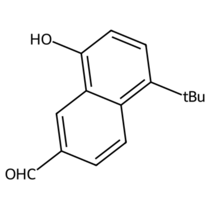 CC(C)(C)c1ccc(O)c2cc(C=O)ccc12